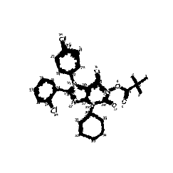 CC(C)(C)C(=O)On1c(=O)c2c(nc(-c3ccccc3Cl)n2-c2ccc(Cl)cc2)n(C2CCCCC2)c1=O